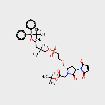 CC(C)(CCO[Si](c1ccccc1)(c1ccccc1)C(C)(C)C)COS(=O)(=O)CCOC[C@@H]1C[C@H](N2C(=O)C=CC2=O)C(=O)N1CC(=O)OC(C)(C)C